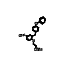 COCCOc1ccc(C=O)cc1Cc1ccc(Oc2ccccc2)cc1